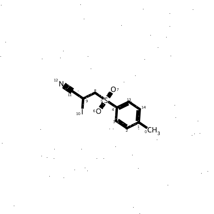 Cc1ccc(S(=O)(=O)CC(I)C#N)cc1